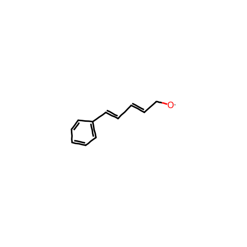 [O]C/C=C/C=C/c1ccccc1